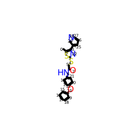 Cc1sc(SCC(=O)Nc2ccc(Oc3ccccc3)cc2)nc1-c1cccnc1